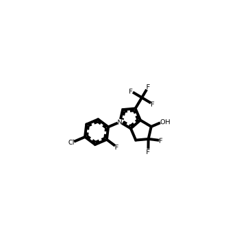 OC1c2c(C(F)(F)F)cn(-c3ccc(Cl)cc3F)c2CC1(F)F